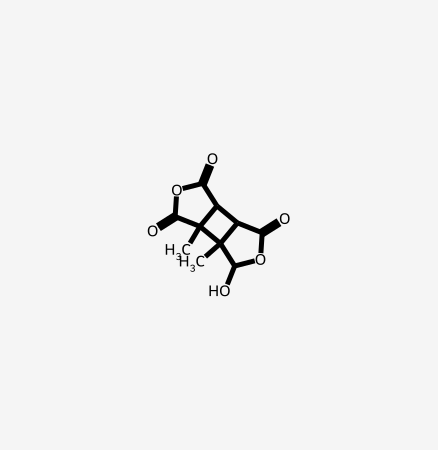 CC12C(=O)OC(=O)C1C1C(=O)OC(O)C12C